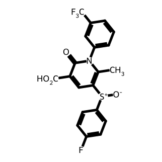 Cc1c([S+]([O-])c2ccc(F)cc2)cc(C(=O)O)c(=O)n1-c1cccc(C(F)(F)F)c1